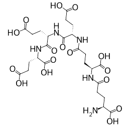 N[C@@H](CCC(=O)N[C@@H](CCC(=O)N[C@@H](CCC(=O)O)C(=O)N[C@@H](CCC(=O)O)C(=O)N[C@@H](CCC(=O)O)C(=O)O)C(=O)O)C(=O)O